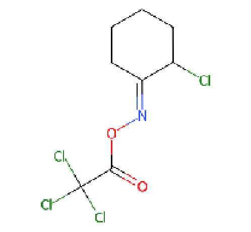 O=C(ON=C1CCCCC1Cl)C(Cl)(Cl)Cl